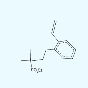 C=Cc1ccccc1CCC(C)(C)C(=O)OCC